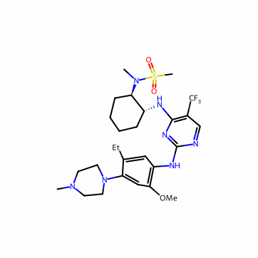 CCc1cc(Nc2ncc(C(F)(F)F)c(N[C@@H]3CCCC[C@H]3N(C)S(C)(=O)=O)n2)c(OC)cc1N1CCN(C)CC1